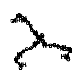 CC(=O)NCCC[Si](C)(C)O[Si](C)(C)CSc1ncc(COCCOCCOCCC2C=C(COCC(COCc3cn(CCOCCOCCOCc4cnc(SC[Si](C)(C)O[Si](C)(C)CCCNC(C)=O)nc4)nn3)(COCc3cn(CCOCCOCCOCc4cnc(SC[Si](C)(C)O[Si](C)(C)CCCNC(C)=O)nc4)nn3)NC(C)=O)N=N2)cn1